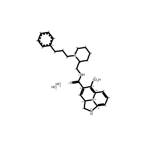 Cl.Cl.O=C(NCC1CCCCN1CCCc1ccccc1)C1=CC2CNC3=CC=CC(=C1S(=O)(=O)O)N32